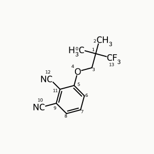 CC(C)(COc1cccc(C#N)c1C#N)C(F)(F)F